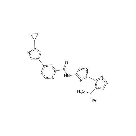 CC(C)[C@H](C)n1cnnc1-c1nc(NC(=O)c2cc(-n3cnc(C4CC4)c3)ccn2)cs1